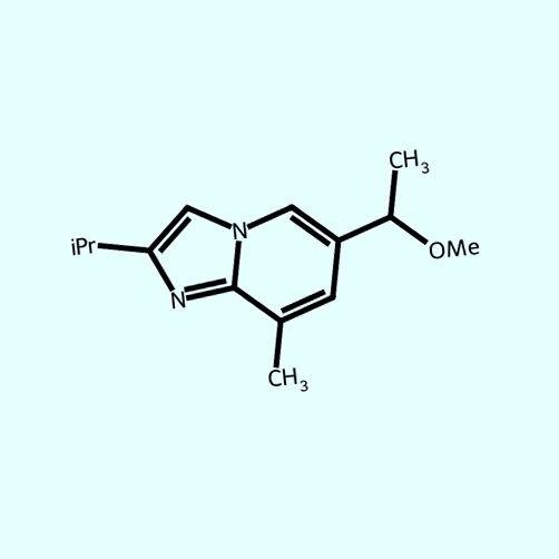 COC(C)c1cc(C)c2nc(C(C)C)cn2c1